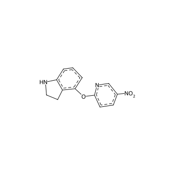 O=[N+]([O-])c1ccc(Oc2cccc3c2CCN3)nc1